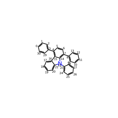 c1ccc(-c2ccc(-c3ccccc3)c3c2c2ccccc2n3-c2ccccc2)cc1